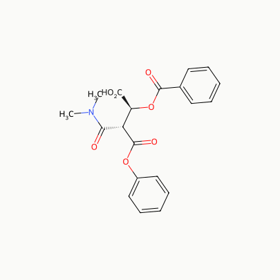 CN(C)C(=O)[C@@H](C(=O)Oc1ccccc1)[C@H](OC(=O)c1ccccc1)C(=O)O